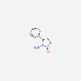 NN1C(=O)CCC1c1ccccc1